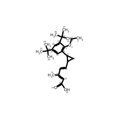 CCOc1c(C2CC2C=CC(C)=CC(=O)O)cc(C(C)(C)C)cc1C(C)(C)C